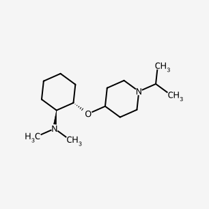 CC(C)N1CCC(O[C@H]2CCCC[C@@H]2N(C)C)CC1